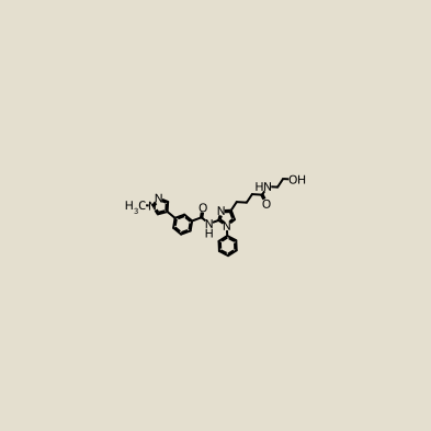 Cn1cc(-c2cccc(C(=O)Nc3nc(CCCC(=O)NCCO)cn3-c3ccccc3)c2)cn1